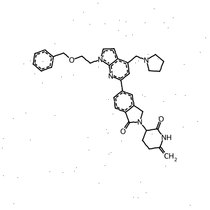 C=C1CCC(N2Cc3cc(-c4cc(CN5CCCC5)c5ccn(CCOCc6ccccc6)c5n4)ccc3C2=O)C(=O)N1